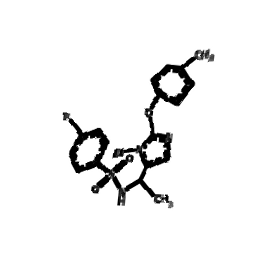 CCn1c(C(C)NS(=O)(=O)c2ccc(F)cc2)cnc1Oc1ccc(C)cc1